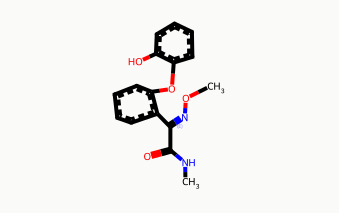 CNC(=O)/C(=N/OC)c1ccccc1Oc1ccccc1O